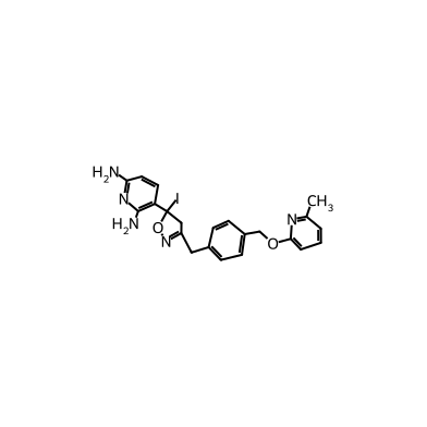 Cc1cccc(OCc2ccc(CC3=NOC(I)(c4ccc(N)nc4N)C3)cc2)n1